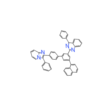 c1ccc(-c2nc(-c3cc(-c4ccc(-c5nc6ccccn6c5-c5ccccc5)cc4)cc(-c4cccc5ccccc45)c3)nc3ccccc23)cc1